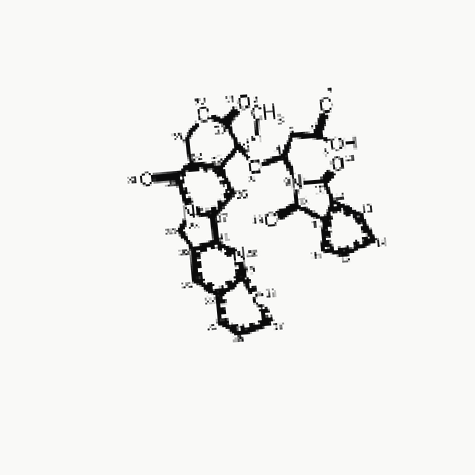 CC[C@@]1(OC(CC(=O)O)N2C(=O)c3ccccc3C2=O)C(=O)OCc2c1cc1n(c2=O)Cc2cc3ccccc3nc2-1